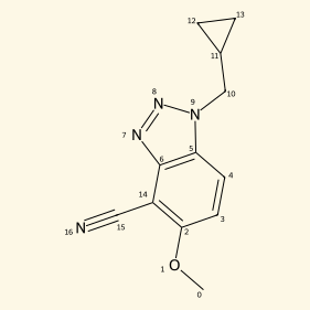 COc1ccc2c(nnn2CC2CC2)c1C#N